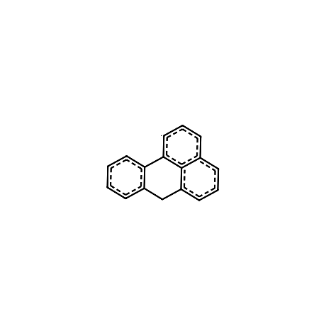 [c]1ccc2cccc3c2c1-c1ccccc1C3